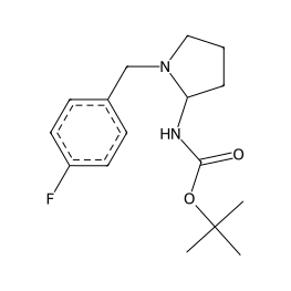 CC(C)(C)OC(=O)NC1CCCN1Cc1ccc(F)cc1